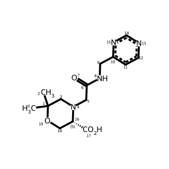 CC1(C)CN(CC(=O)NCc2ccncn2)[C@H](C(=O)O)CO1